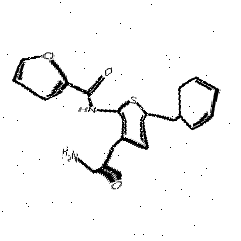 NC(=O)c1cc(C2C=CC=CC2)sc1NC(=O)c1ccco1